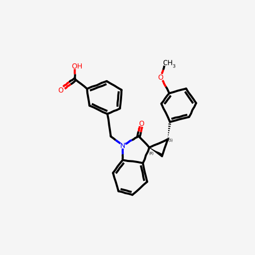 COc1cccc([C@@H]2C[C@@]23C(=O)N(Cc2cccc(C(=O)O)c2)c2ccccc23)c1